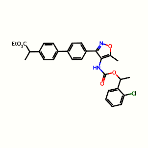 CCOC(=O)C(C)c1ccc(-c2ccc(-c3noc(C)c3NC(=O)OC(C)c3ccccc3Cl)cc2)cc1